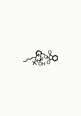 CCCCCC(c1cccc(CON2C(=O)c3ccccc3C2=O)n1)N(C(=O)O)C(C)(C)C